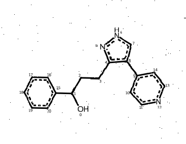 OC(CCc1n[nH]cc1-c1ccncc1)c1ccccc1